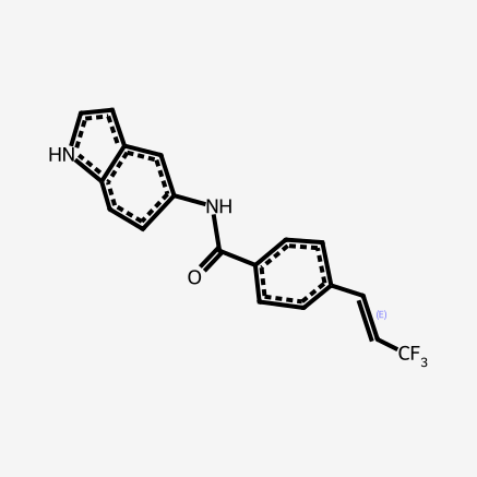 O=C(Nc1ccc2[nH]ccc2c1)c1ccc(/C=C/C(F)(F)F)cc1